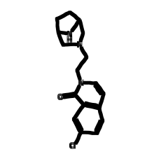 O=c1c2cc(Cl)ccc2ccn1CCN1CC2CCC(C1)N2